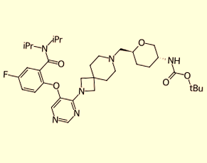 CC(C)N(C(=O)c1cc(F)ccc1Oc1cncnc1N1CC2(CCN(C[C@@H]3CC[C@@H](NC(=O)OC(C)(C)C)CO3)CC2)C1)C(C)C